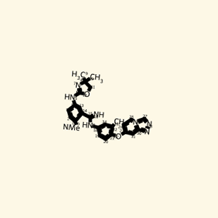 CNc1ccc(NC2=NC(C)(C)CO2)cc1C(=N)Nc1ccc(Oc2ccn3cnnc3c2)c(C)c1